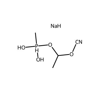 CC(OC#N)O[PH](C)(O)O.[NaH]